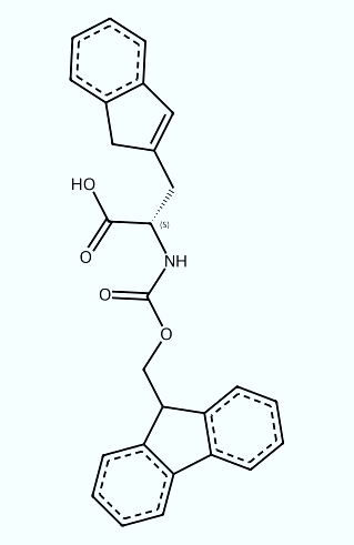 O=C(N[C@@H](CC1=Cc2ccccc2C1)C(=O)O)OCC1c2ccccc2-c2ccccc21